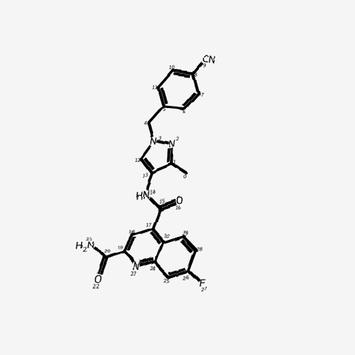 Cc1nn(Cc2ccc(C#N)cc2)cc1NC(=O)c1cc(C(N)=O)nc2cc(F)ccc12